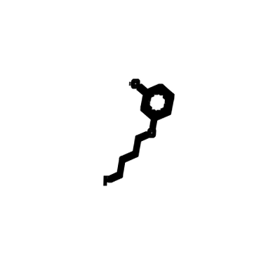 [O]c1cccc(OCCCCF)c1